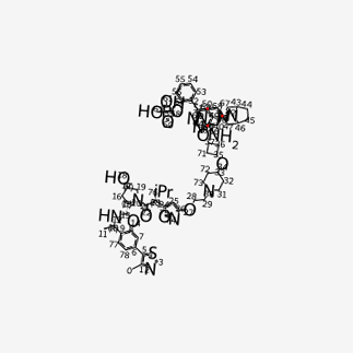 Cc1ncsc1-c1ccc([C@@H](C)NC(=O)[C@@H]2C[C@@H](O)CN2C(=O)[C@@H](c2cc(OCCN3CCC(OC4CC(Oc5cc(N6C7CCC6CN(c6cc(-c8ccccc8OP(=O)(O)O)nnc6N)C7)ccn5)C4)CC3)no2)C(C)C)cc1